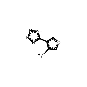 Cc1cocc1-c1nnn[nH]1